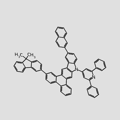 CC1(C)c2ccccc2-c2cc(-c3ccc4c5ccccc5c5cc6c(cc5c4c3)c3cc(-c4ccc5ccccc5c4)ccc3n6-c3cc(-c4ccccc4)nc(-c4ccccc4)c3)ccc21